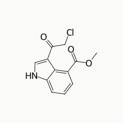 COC(=O)c1cccc2[nH]cc(C(=O)CCl)c12